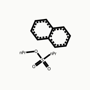 CCCOS(=O)(=O)CCC.c1ccc2ccccc2c1